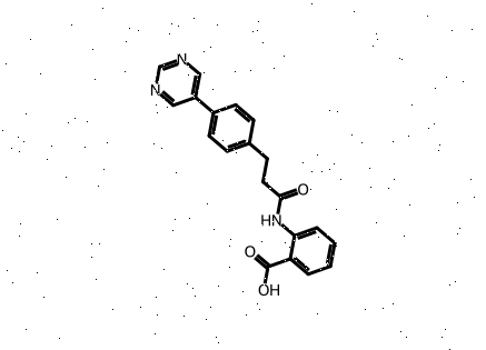 O=C(CCc1ccc(-c2cncnc2)cc1)Nc1ccccc1C(=O)O